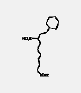 CCCCCCCCCCCCCCCCC(CCC1CCCCC1)C(=O)O